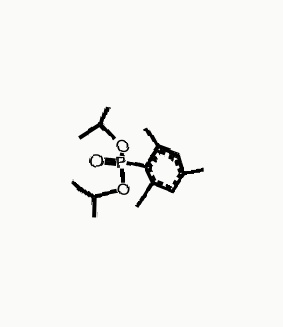 Cc1cc(C)c(P(=O)(OC(C)C)OC(C)C)c(C)c1